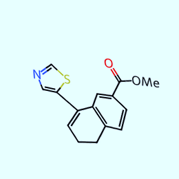 COC(=O)c1ccc2c(c1)C(c1cncs1)=CCC2